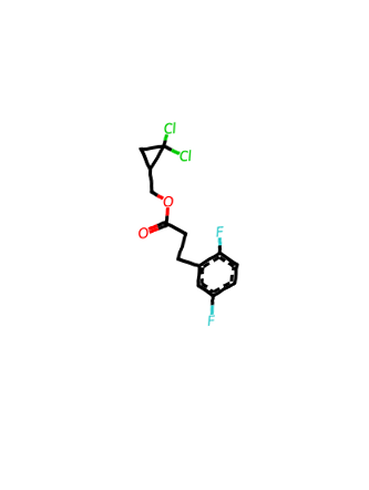 O=C(CCc1cc(F)ccc1F)OCC1CC1(Cl)Cl